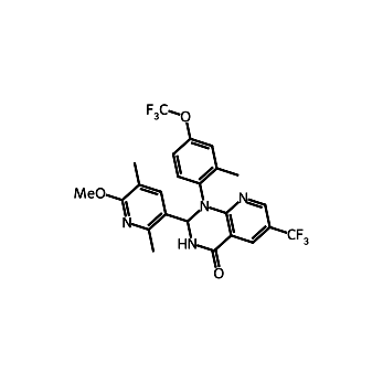 COc1nc(C)c(C2NC(=O)c3cc(C(F)(F)F)cnc3N2c2ccc(OC(F)(F)F)cc2C)cc1C